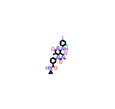 Cc1c(=O)n(C)c(Nc2ccc(I)cc2F)c2c(=O)n(C)c(=O)n(-c3cccc(C(=O)NC4CC4)c3)c12